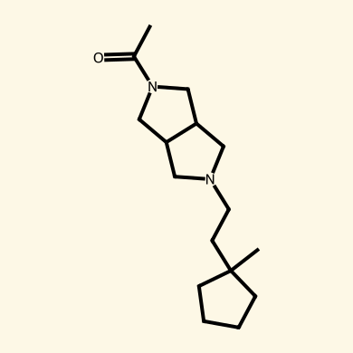 CC(=O)N1CC2CN(CCC3(C)CCCC3)CC2C1